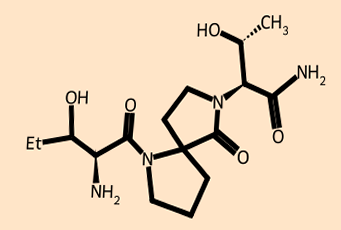 CCC(O)[C@H](N)C(=O)N1CCCC12CCN([C@H](C(N)=O)[C@@H](C)O)C2=O